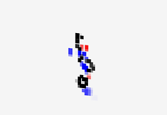 Nc1cccc(Oc2ccc3nc(NC(=O)CC4CC4)cn3n2)c1